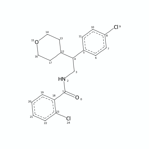 O=C(NCC(c1ccc(Cl)cc1)C1CCOCC1)c1ccccc1Cl